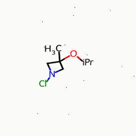 CC(C)OC1(C)CN(Cl)C1